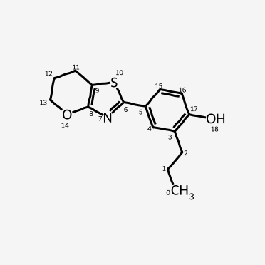 CCCc1cc(-c2nc3c(s2)CCCO3)ccc1O